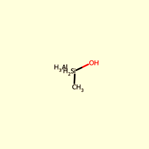 C[SiH2]O.[AlH3]